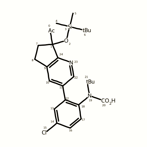 CC(=O)C1(O[Si](C)(C)C(C)(C)C)CCc2cc(-c3cc(Cl)ccc3N(C(=O)O)C(C)(C)C)cnc21